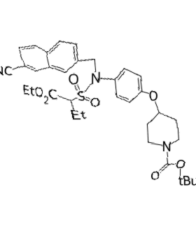 CCOC(=O)C(CC)S(=O)(=O)N(Cc1ccc2ccc(C#N)cc2c1)c1ccc(OC2CCN(C(=O)OC(C)(C)C)CC2)cc1